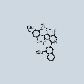 Cc1cc(CC(C)(C)C)cc(C)c1-c1sc2c(-c3cc(C(C)(C)C)c4ccccc4c3)ncc(F)c2c1C